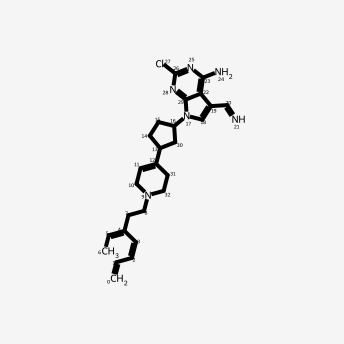 C=C/C=C\C(=C/C)CCN1CC=C(C2CCC(n3cc(C=N)c4c(N)nc(Cl)nc43)C2)CC1